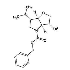 CC(C)[C@H]1CN(C(=O)OCc2ccccc2)[C@H]2[C@@H]1OC[C@@H]2O